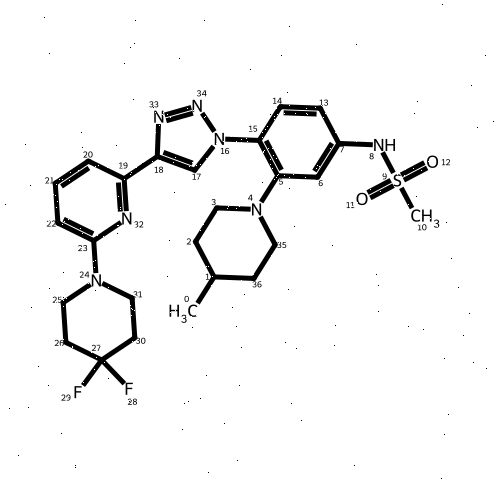 CC1CCN(c2cc(NS(C)(=O)=O)ccc2-n2cc(-c3cccc(N4CCC(F)(F)CC4)n3)nn2)CC1